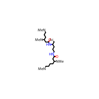 CNCCCCC(CC(=O)NCCCC(CC(C)=O)NC(=O)CC(CCCNC)NC)NC